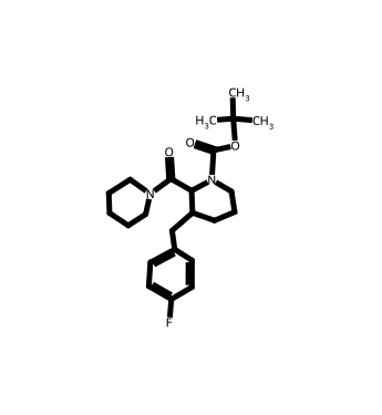 CC(C)(C)OC(=O)N1CCCC(Cc2ccc(F)cc2)C1C(=O)N1CCCCC1